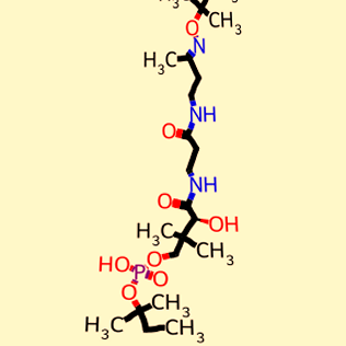 CCC(C)(C)OP(=O)(O)OCC(C)(C)[C@H](O)C(=O)NCCC(=O)NCC/C(C)=N/OC(C)(C)C